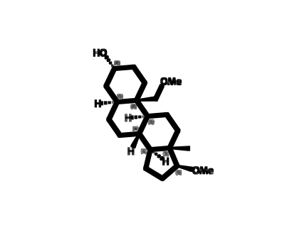 COC[C@]12CC[C@@H](O)C[C@@H]1CC[C@H]1[C@@H]3CC[C@H](OC)[C@@]3(C)CC[C@@H]12